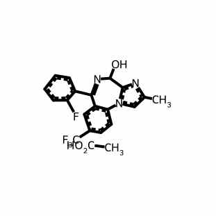 CC(=O)O.Cc1cn2c(n1)C(O)N=C(c1ccccc1F)c1cc(C(F)(F)F)ccc1-2